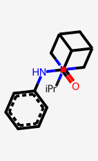 CC(C)N1CC2CC(C1)C2C(=O)Nc1ccccc1